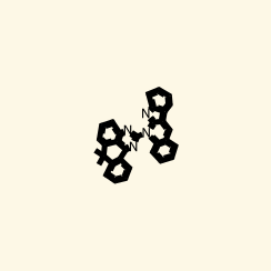 CC1(C)c2ccccc2-c2nc(-n3c4nc5ccccc5c-4cc4ccccc43)nc3cccc1c23